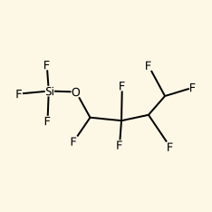 FC(F)C(F)C(F)(F)C(F)O[Si](F)(F)F